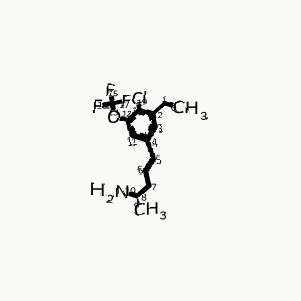 CCc1cc(CCC[C@H](C)N)cc(OC(F)(F)F)c1Cl